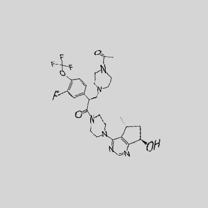 CC(=O)N1CCN(C[C@@H](C(=O)N2CCN(c3ncnc4c3[C@H](C)C[C@H]4O)CC2)c2ccc(OC(F)(F)F)c(F)c2)CC1